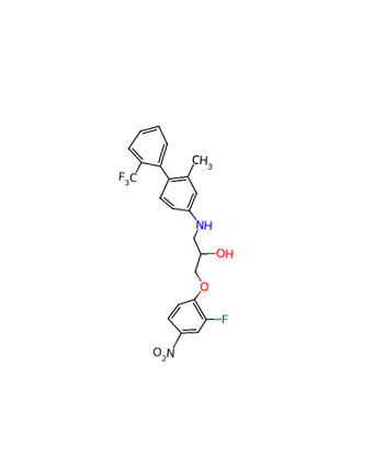 Cc1cc(NCC(O)COc2ccc([N+](=O)[O-])cc2F)ccc1-c1ccccc1C(F)(F)F